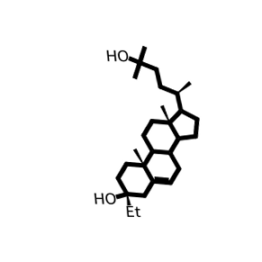 CC[C@@]1(O)CC[C@@]2(C)C(=CCC3C4CCC([C@H](C)CCC(C)(C)O)[C@@]4(C)CCC32)C1